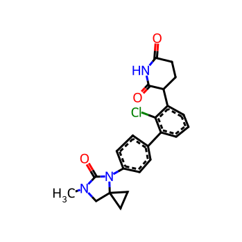 CN1CC2(CC2)N(c2ccc(-c3cccc(C4CCC(=O)NC4=O)c3Cl)cc2)C1=O